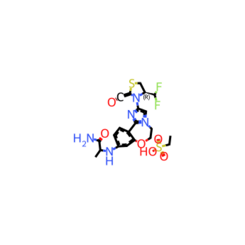 CC(Nc1ccc2c(c1)OCCn1cc(N3C(=C=O)SC[C@H]3C(F)F)nc1-2)C(N)=O.CCS(=O)(=O)O